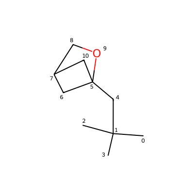 CC(C)(C)CC12CC(CO1)C2